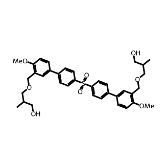 COc1ccc(-c2ccc(S(=O)(=O)c3ccc(-c4ccc(OC)c(COCC(C)CO)c4)cc3)cc2)cc1COCC(C)CO